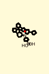 OB(O)c1ccc(N(C2=CCC=C3C(=C2)C2(c4ccccc43)c3ccccc3-c3ccccc32)c2cccc(-c3ccccc3)c2)cc1